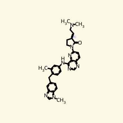 Cc1cc(Nc2ncnc3ccc(N4CC/C(=C\CN(C)C)C4=O)nc23)ccc1Cc1ccc2c(c1)ncn2C